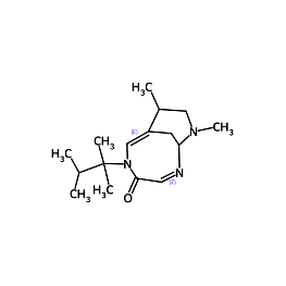 CC1CN(C)C2C/C1=C\N(C(C)(C)C(C)C)C(=O)/C=N\2